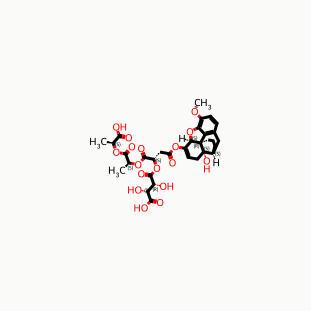 COc1ccc2c3c1O[C@@H]1C(OC(=O)C[C@H](OC(=O)[C@H](O)[C@@H](O)C(=O)O)C(=O)O[C@@H](C)C(=O)O[C@@H](C)C(=O)O)=CC[C@]4(O)[C@@H](CCC[C@@]314)C2